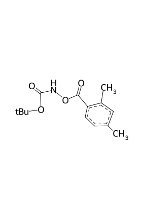 Cc1ccc(C(=O)ONC(=O)OC(C)(C)C)c(C)c1